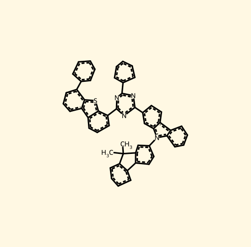 CC1(C)c2ccccc2-c2ccc(-n3c4ccccc4c4ccc(-c5nc(-c6ccccc6)nc(-c6cccc7c6sc6c(-c8ccccc8)cccc67)n5)cc43)cc21